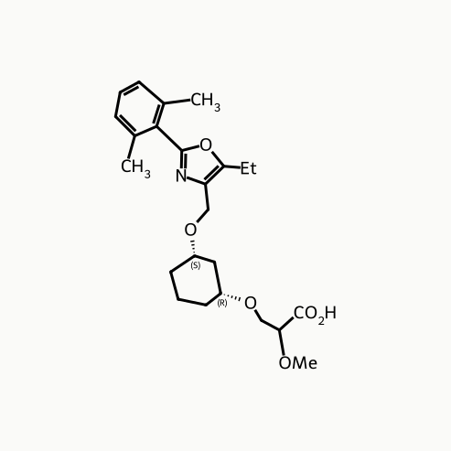 CCc1oc(-c2c(C)cccc2C)nc1CO[C@H]1CCC[C@@H](OCC(OC)C(=O)O)C1